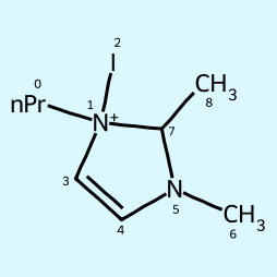 CCC[N+]1(I)C=CN(C)C1C